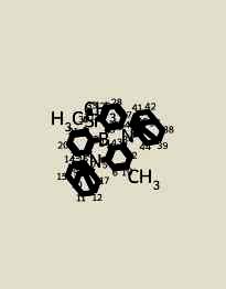 Cc1cc2c3c(c1)N(C14CC5CC(CC(C5)C1)C4)c1cccc4c1B3c1c(cccc1[Si]4(C)C)N2C12CC3CC(CC(C3)C1)C2